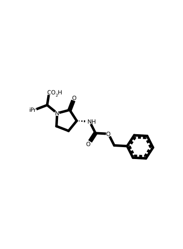 CC(C)C(C(=O)O)N1CC[C@@H](NC(=O)OCc2ccccc2)C1=O